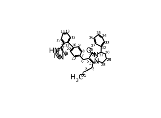 CCCCc1c(Cc2ccc(-c3ccccc3-c3nnn[nH]3)cc2)c(=O)n2n1CCCC2c1ccccc1